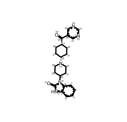 O=c1[nH]c2ccccc2n1C1CCN([C@H]2CC[C@H](C(=O)c3cncnc3)CC2)CC1